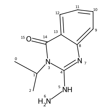 CC(C)n1c(NN)nc2ccccc2c1=O